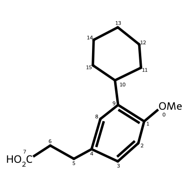 COc1ccc(CCC(=O)O)cc1C1CCCCC1